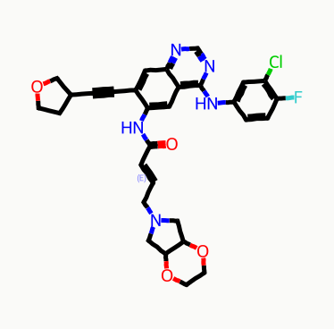 O=C(/C=C/CN1CC2OCCOC2C1)Nc1cc2c(Nc3ccc(F)c(Cl)c3)ncnc2cc1C#CC1CCOC1